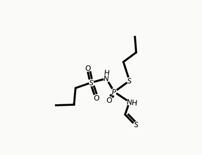 CCCSP(=O)(NC=S)NS(=O)(=O)CCC